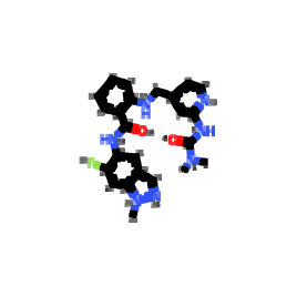 CN(C)C(=O)Nc1cc(CNc2ccccc2C(=O)Nc2cc3cnn(C)c3cc2F)ccn1